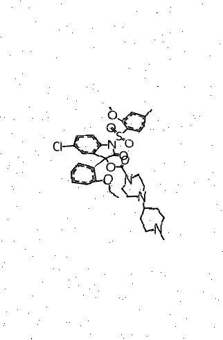 CCOc1ccccc1C1(OC(=O)N2CCN(C3CCN(C)CC3)CC2)C(=O)N(S(=O)(=O)c2ccc(C)cc2OC)c2ccc(Cl)cc21